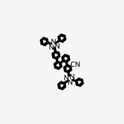 N#Cc1cc(-c2nc(-c3ccccc3)nc(-c3ccccc3)n2)ccc1-c1ccccc1-c1ccccc1-c1ccc(-c2nc(-c3ccccc3)nc(-c3ccccc3)n2)cc1